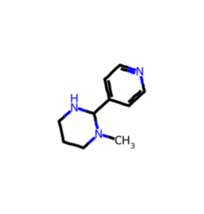 CN1CCCNC1c1ccncc1